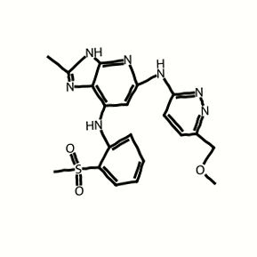 COCc1ccc(Nc2cc(Nc3ccccc3S(C)(=O)=O)c3nc(C)[nH]c3n2)nn1